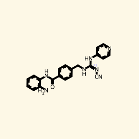 N#C/N=C(\NCc1ccc(C(=O)Nc2ccccc2N)cc1)Nc1ccncc1